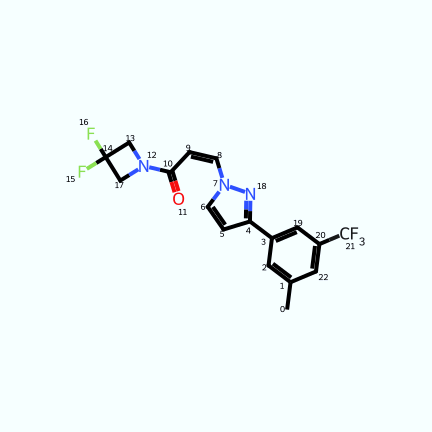 Cc1cc(-c2ccn(/C=C\C(=O)N3CC(F)(F)C3)n2)cc(C(F)(F)F)c1